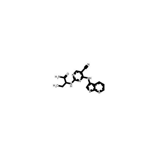 CCC(Nc1ncc(C#N)c(Nc2csc3ncccc23)n1)C(N)=O